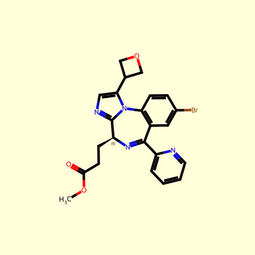 COC(=O)CC[C@@H]1N=C(c2ccccn2)c2cc(Br)ccc2-n2c(C3COC3)cnc21